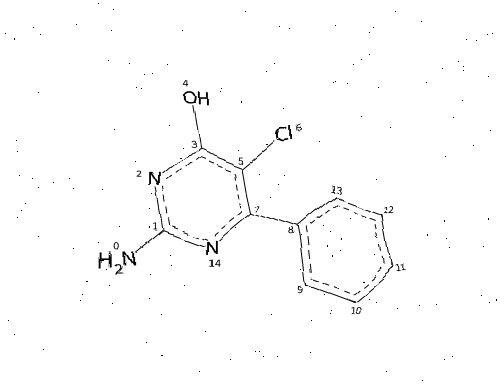 Nc1nc(O)c(Cl)c(-c2ccccc2)n1